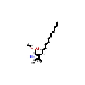 CCCCCCCCCCCCc1c(C(=O)OCC)[nH]c(C)c1C